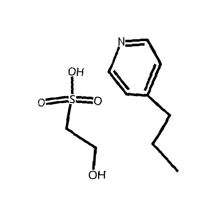 CCCc1ccncc1.O=S(=O)(O)CCO